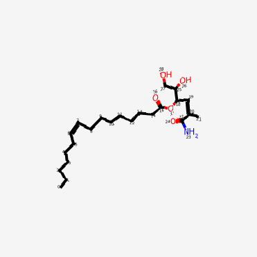 CCCCCC/C=C\CCCCCCCC(=O)OC(C=C(C)C(N)=O)C(O)CO